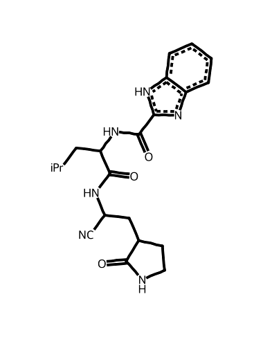 CC(C)CC(NC(=O)c1nc2ccccc2[nH]1)C(=O)NC(C#N)CC1CCNC1=O